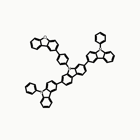 c1ccc(-n2c3ccccc3c3cc(-c4ccc5c6ccc(-c7ccc8c(c7)c7ccccc7n8-c7ccccc7)cc6n(-c6ccc(-c7ccc8oc9ccccc9c8c7)cc6)c5c4)ccc32)cc1